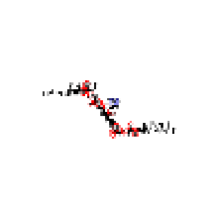 CCCCCC(CCCCC)CCOC(=O)COCC(=O)OCCCC(CCCOC(=O)COCC(=O)OCCC(CCCCC)CCCCC)OC(=O)CN(C)C